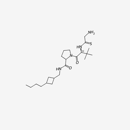 CCCCC1CC(CNC(=O)C2CCCN2C(=O)[C@@H](NC(=S)CN)C(C)(C)C)C1